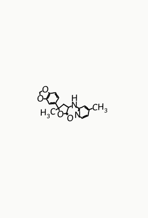 Cc1ccnc(NC2CC(C)(c3ccc4c(c3)OCO4)OC2=O)c1